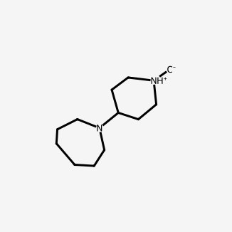 [CH2-][NH+]1CCC(N2CCCCCC2)CC1